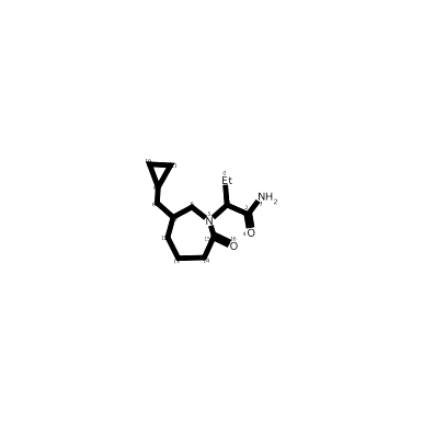 CCC(C(N)=O)N1CC(CC2CC2)CCCC1=O